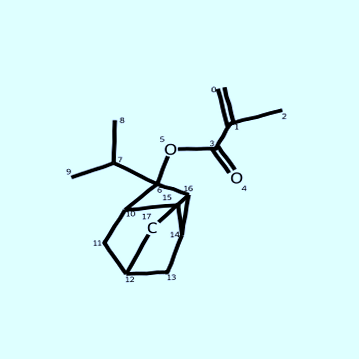 C=C(C)C(=O)OC1(C(C)C)C2CC3CC(C2)C1C3